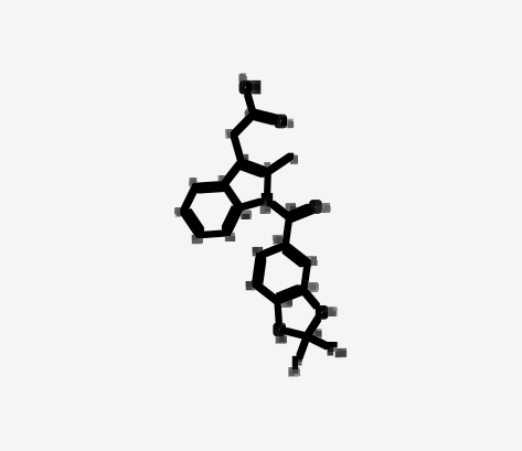 Cc1c(CC(=O)O)c2ccccc2n1C(=O)c1ccc2c(c1)OC(F)(F)O2